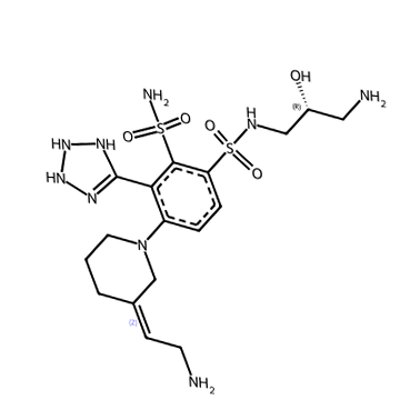 NC/C=C1/CCCN(c2ccc(S(=O)(=O)NC[C@H](O)CN)c(S(N)(=O)=O)c2C2=NNNN2)C1